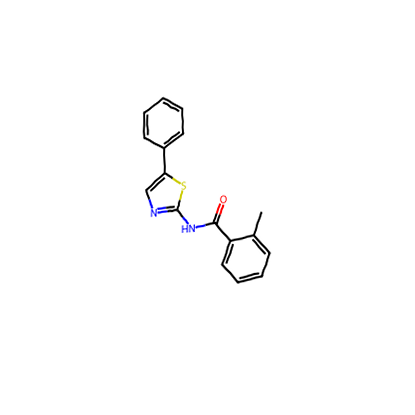 Cc1ccccc1C(=O)Nc1ncc(-c2ccccc2)s1